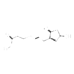 CC(C)OC(=O)CCCC=CCC1=CC(O)CC1=O